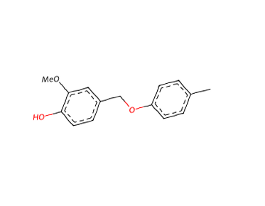 COc1cc(COc2ccc(C)cc2)ccc1O